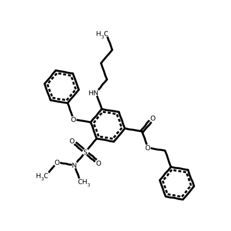 CCCCNc1cc(C(=O)OCc2ccccc2)cc(S(=O)(=O)N(C)OC)c1Oc1ccccc1